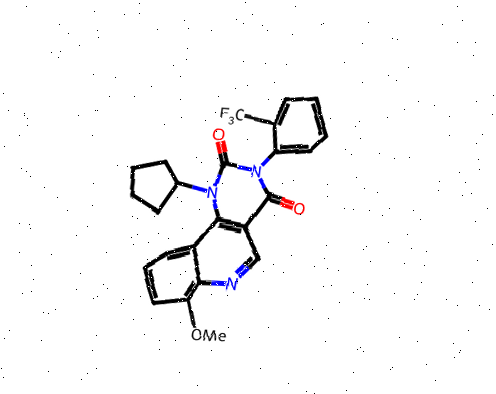 COc1cccc2c1ncc1c(=O)n(-c3ccccc3C(F)(F)F)c(=O)n(C3CCCC3)c12